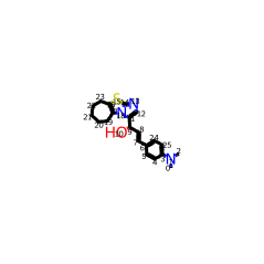 CN(C)c1ccc(/C=C/C(O)c2cnc3sc4c(n23)CCCCC4)cc1